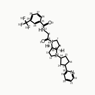 O=C(NCC(=O)N1CC[C@@H]2[C@H]1CCN2C1CCC(c2ccccn2)C1)c1cccc(C(F)(F)F)c1